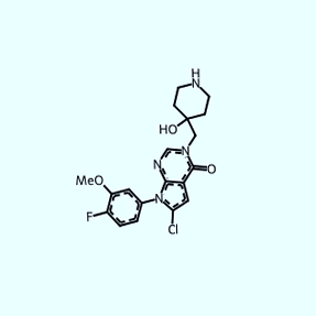 COc1cc(-n2c(Cl)cc3c(=O)n(CC4(O)CCNCC4)cnc32)ccc1F